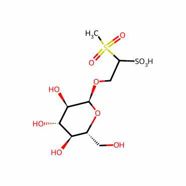 CS(=O)(=O)C(CO[C@H]1O[C@H](CO)[C@@H](O)[C@H](O)[C@H]1O)S(=O)(=O)O